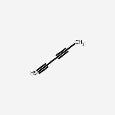 CC#CC#[SiH]